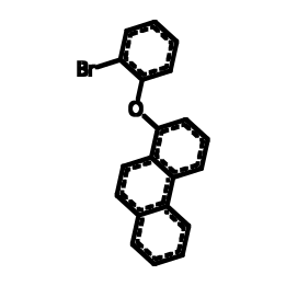 Brc1ccccc1Oc1cccc2c1ccc1ccccc12